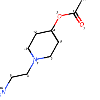 CNC(=O)OC1CCN(CCN)CC1